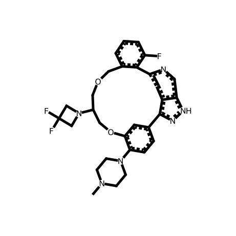 CN1CCN(c2ccc3cc2OCC(N2CC(F)(F)C2)COCc2cccc(F)c2-c2cc4c-3n[nH]c4cn2)CC1